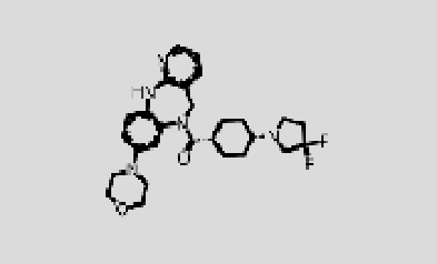 O=C([C@H]1CC[C@@H](N2CCC(F)(F)C2)CC1)N1Cc2cccnc2Nc2ccc(N3CCOCC3)cc21